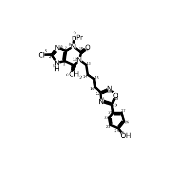 C=C1c2[nH]c(Cl)nc2N(CCC)C(=O)N1CCCCc1noc(-c2ccc(O)cc2)n1